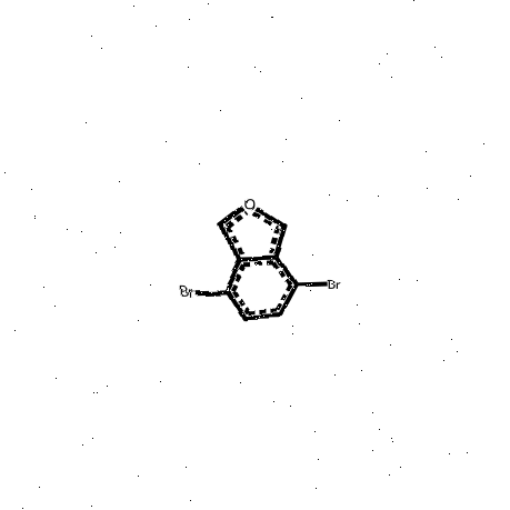 Brc1ccc(Br)c2cocc12